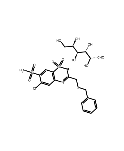 NS(=O)(=O)c1cc2c(cc1Cl)N=C(CSCc1ccccc1)NS2(=O)=O.O=C[C@H](O)[C@@H](O)[C@@H](O)[C@H](O)CO